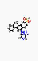 CS(=O)(=O)C1CC=c2c(N)cc3c(c2C1)CC=c1ccccc1=3.c1cnccn1